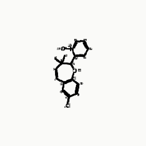 CC1(C)C=Cc2cc(Cl)ccc2OC1c1cccc[n+]1[O-]